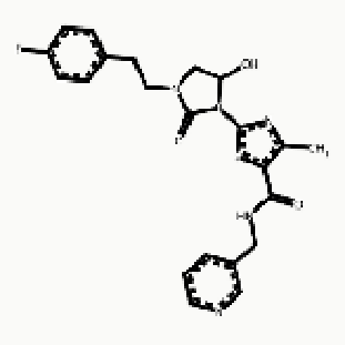 Cc1nc(N2C(=O)N(CCc3ccc(F)cc3)CC2O)sc1C(=O)NCc1cccnc1